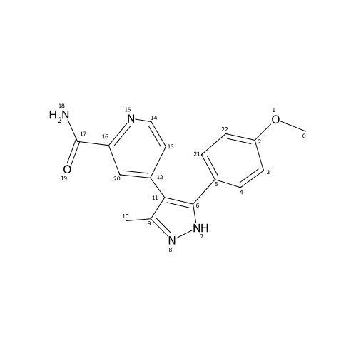 COc1ccc(-c2[nH]nc(C)c2-c2ccnc(C(N)=O)c2)cc1